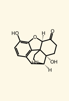 O=C1CC[C@@]2(O)[C@H]3Cc4ccc(O)c5c4C2(CCN3)[C@H]1O5